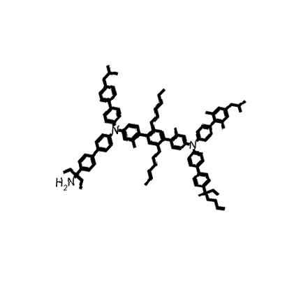 CCCCCCc1cc(-c2ccc(N(c3ccc(-c4ccc(C(C)(CC)CCCC)cc4)cc3)c3ccc(-c4c(C)cc(CC(C)C)cc4C)cc3)cc2C)c(CCCCCC)cc1-c1ccc(N(c2ccc(-c3ccc(CC(C)C)cc3)cc2)c2ccc(-c3ccc(C(N)(CC)CC)cc3)cc2)cc1C